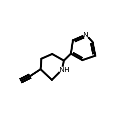 C#CC1CCC(c2cccnc2)NC1